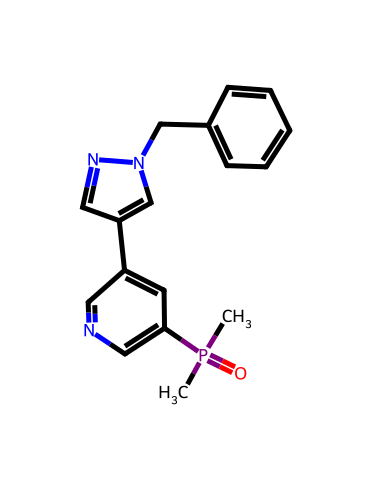 CP(C)(=O)c1cncc(-c2cnn(Cc3ccccc3)c2)c1